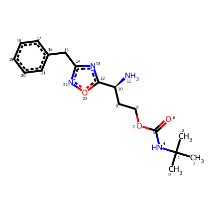 CC(C)(C)NC(=O)OCC[C@H](N)c1nc(Cc2ccccc2)no1